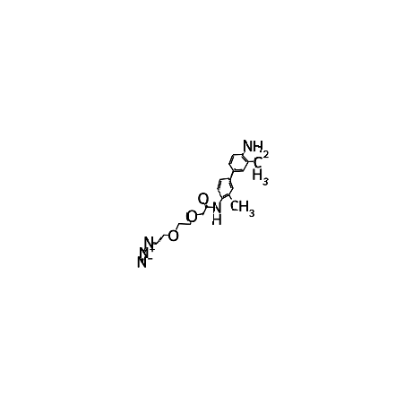 Cc1cc(-c2ccc(NC(=O)COCCOCCN=[N+]=[N-])c(C)c2)ccc1N